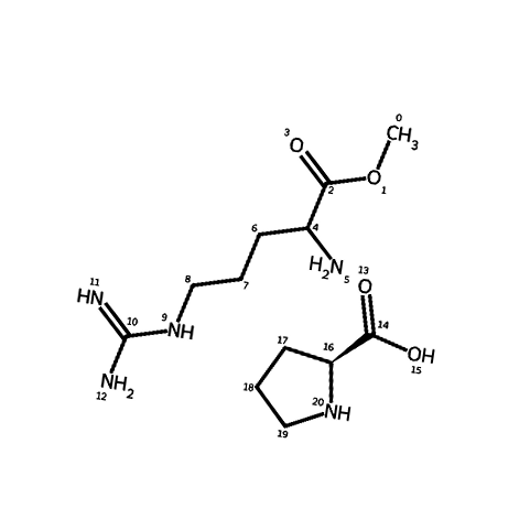 COC(=O)C(N)CCCNC(=N)N.O=C(O)[C@@H]1CCCN1